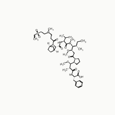 C=CS(=O)(=O)CCN(C)CCC(=O)N1[C@@H]2CC[C@@H](C2)[C@H]1C(=O)N[C@H](C(=O)N(C)[C@@H]([C@@H](C)CC)[C@@H](CC(=O)N1CCC[C@H]1[C@H](OC)[C@@H](C)C(=O)N[C@@H](Cc1ccccc1)C(=O)O)OC)C(C)C